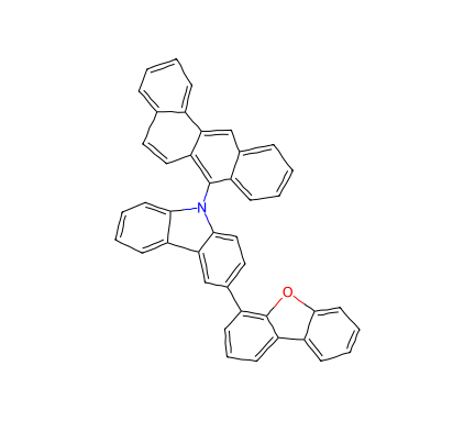 c1ccc2c(-n3c4ccccc4c4cc(-c5cccc6c5oc5ccccc56)ccc43)c3ccc4ccccc4c3cc2c1